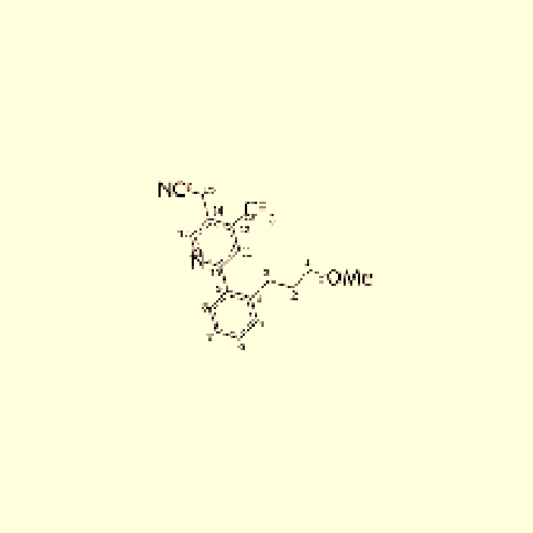 COCCCc1ccccc1-c1cc(C(F)(F)F)c(CC#N)cn1